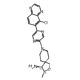 C[C@@H]1OCC2(CCN(c3[c]nc(-c4ccc5nccnc5c4Cl)cn3)CC2)[C@@H]1N